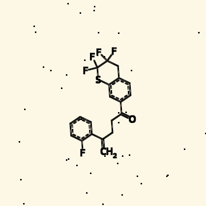 C=C(CCC(=O)c1ccc2c(c1)SC(F)(F)C(F)(F)C2)c1ccccc1F